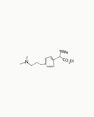 CCOC(=O)C(NC)c1ccc(CCCN(C)C)cc1